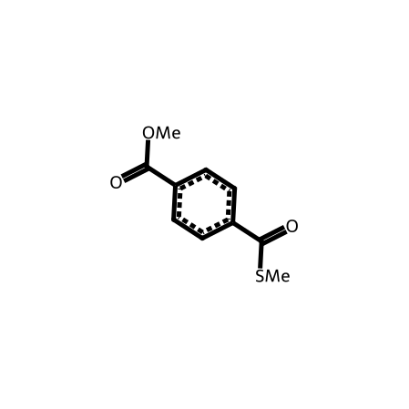 COC(=O)c1ccc(C(=O)SC)cc1